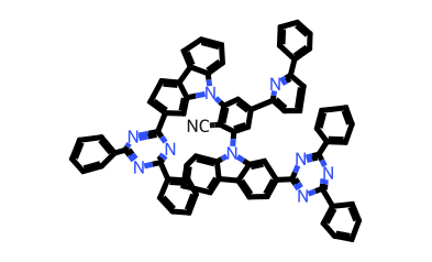 N#Cc1c(-n2c3ccccc3c3ccc(-c4nc(-c5ccccc5)nc(-c5ccccc5)n4)cc32)cc(-c2cccc(-c3ccccc3)n2)cc1-n1c2ccccc2c2ccc(-c3nc(-c4ccccc4)nc(-c4ccccc4)n3)cc21